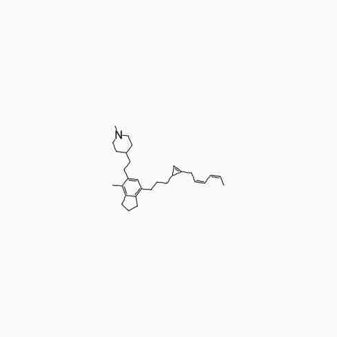 C/C=C\C=C/CC1=CC1CCCc1cc(CCC2CCN(C)CC2)c(C)c2c1CCC2